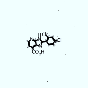 O=C(O)c1ccnc2[nH]c(-c3ccc(Cl)cc3Cl)nc12